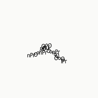 CCCCC(C)(C(=O)c1cccc(C(=O)Oc2ccc(C(C)(CCC)c3ccc(OC(C)(C)CCC)cc3)cc2)c1)C(C)(C)Oc1ccc(C(C)(CCC)c2ccc(OC(=O)c3ccc(C(=O)C(C)C)cc3)cc2)cc1